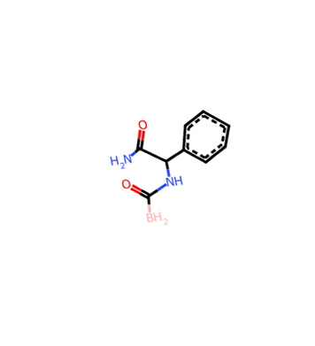 BC(=O)NC(C(N)=O)c1ccccc1